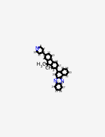 CC1(C)c2cc(-c3ccncc3)ccc2-c2ccc(-c3cc4nc5ccccc5nc4c4ccccc34)cc21